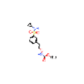 CC(C)(C)OC(=O)NOCCc1cccc(S(=O)(=O)NC2CC2)c1